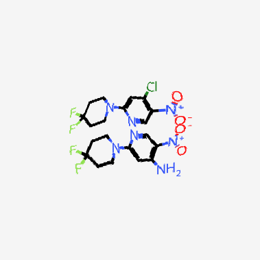 Nc1cc(N2CCC(F)(F)CC2)ncc1[N+](=O)[O-].O=[N+]([O-])c1cnc(N2CCC(F)(F)CC2)cc1Cl